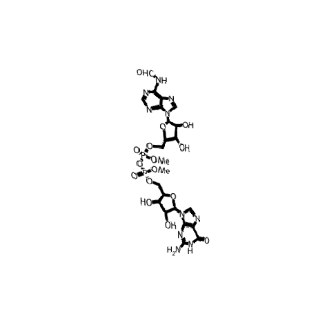 COP(=O)(OCC1OC(n2cnc3c(NC=O)ncnc32)C(O)C1O)OP(=O)(OC)OCC1OC(n2cnc3c(=O)[nH]c(N)nc32)C(O)C1O